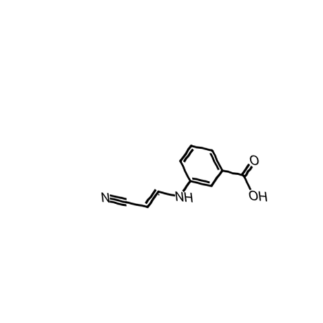 N#C/C=[C]/Nc1cccc(C(=O)O)c1